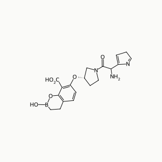 NC(C(=O)N1CC[C@H](Oc2ccc3c(c2C(=O)O)OB(O)CC3)C1)C1=CCC=N1